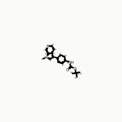 Cn1cc(-c2ccc(NC(=O)OC(C)(C)C)cc2)c2ccncc21